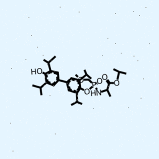 COCP(=O)(NC(C)C(=O)OC(C)C)Oc1c(C(C)C)cc(-c2cc(C(C)C)c(O)c(C(C)C)c2)cc1C(C)C